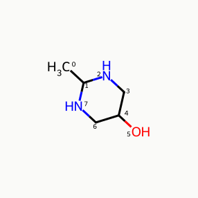 CC1NCC(O)CN1